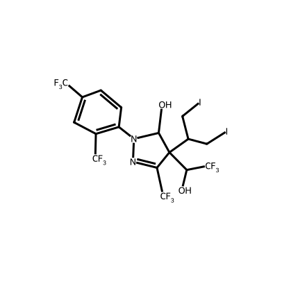 OC1N(c2ccc(C(F)(F)F)cc2C(F)(F)F)N=C(C(F)(F)F)C1(C(CI)CI)C(O)C(F)(F)F